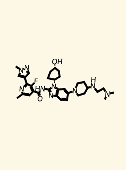 Cc1cc(C(=O)Nc2nc3ccc(N4CCC(NCCN(C)C)CC4)cc3n2[C@H]2CC[C@@H](O)CC2)c(F)c(-c2cnn(C)c2)n1